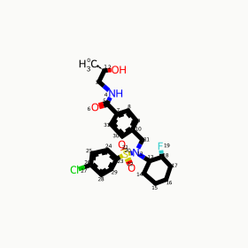 C[C@H](O)CNC(=O)c1ccc(CN(C2CCCCC2F)S(=O)(=O)c2ccc(Cl)cc2)cc1